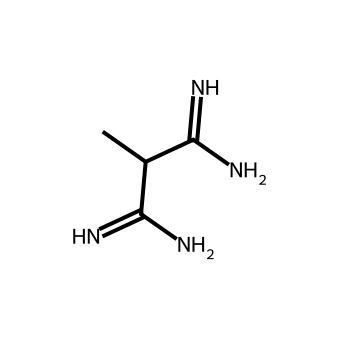 CC(C(=N)N)C(=N)N